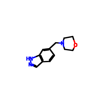 c1cc2cn[nH]c2cc1CN1CCOCC1